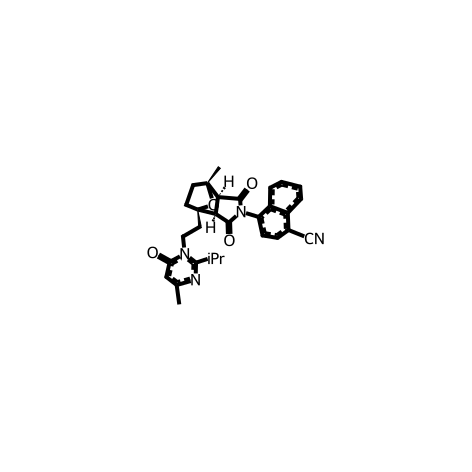 Cc1cc(=O)n(CC[C@@]23CC[C@@](C)(O2)[C@H]2C(=O)N(c4ccc(C#N)c5ccccc45)C(=O)[C@H]23)c(C(C)C)n1